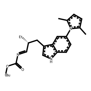 CC[C@@H](C=NC(=O)OC(C)(C)C)Cc1c[nH]c2ccc(-n3c(C)ccc3C)cc12